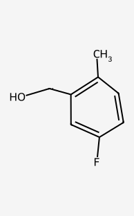 Cc1ccc(F)cc1[CH]O